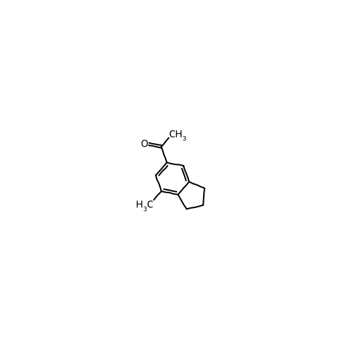 CC(=O)c1cc(C)c2c(c1)CCC2